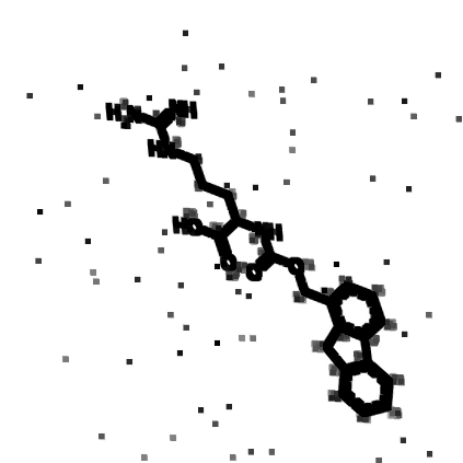 N=C(N)NCCCC(NC(=O)OCc1cccc2c1Cc1ccccc1-2)C(=O)O